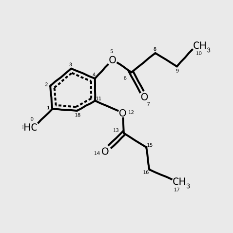 [CH]c1ccc(OC(=O)CCC)c(OC(=O)CCC)c1